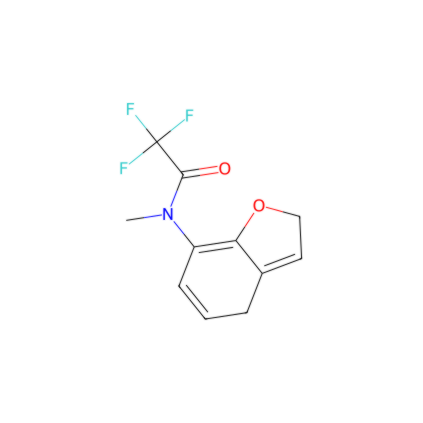 CN(C(=O)C(F)(F)F)C1=C2OCC=C2CC=C1